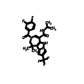 CC(C)NC(=O)C1=CN(C(=O)c2ccc(F)c(F)c2)CC(C)(C)c2c1[nH]n1cc(C(F)(F)F)cc21